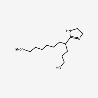 CCCCCCCCCCCCCCCC(CCCO)C1=NCCN1